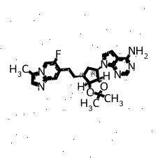 Cc1cnc2cc(CC[C@H]3C[C@@H](n4ccc5c(N)ncnc54)[C@@H]4OC(C)(C)O[C@H]34)c(F)cn12